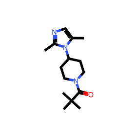 Cc1cnc(C)n1C1CCN(C(=O)C(C)(C)C)CC1